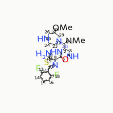 CN/C(=C(\C=N)NC(=O)c1nc(-c2c(F)cccc2F)sc1N)N1CCNCC(OC)C1